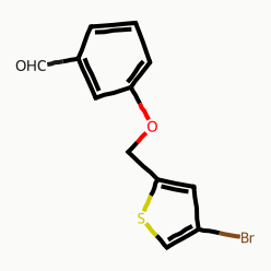 O=Cc1cccc(OCc2cc(Br)cs2)c1